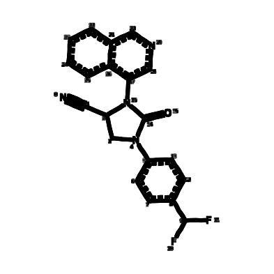 N#CC1CN(c2ccc(C(F)F)cc2)C(=O)N1c1cncc2ccccc12